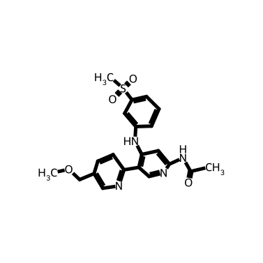 COCc1ccc(-c2cnc(NC(C)=O)cc2Nc2cccc(S(C)(=O)=O)c2)nc1